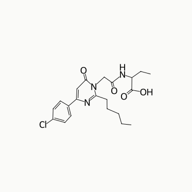 CCCCCc1nc(-c2ccc(Cl)cc2)cc(=O)n1CC(=O)NC(CC)C(=O)O